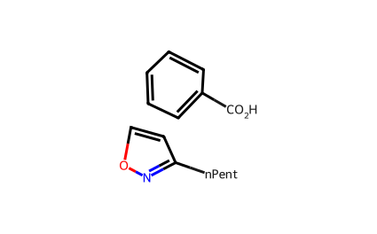 CCCCCc1ccon1.O=C(O)c1ccccc1